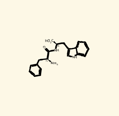 N[C@@H](Cc1ccccc1)C(=O)N[C@H](Cc1c[nH]c2ccccc12)C(=O)O